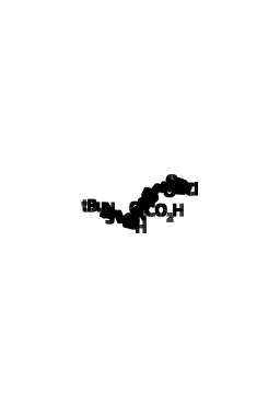 CC(C)(C)c1csc(CCc2cccc(C(=O)NC(Oc3ccc(CCCS(=O)(=O)c4ccc(Cl)cc4)cc3)C(=O)O)c2)n1